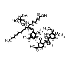 CCCCCCCCCCCCCCCCCC(=O)O.COc1ccc(C(=O)O)cc1OC.COc1ccc(C(=O)O)cc1OC.COc1ccc(C(=O)O)cc1OC.OCC(CO)(CO)CO